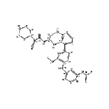 COc1nc(-c2cccc3c2O[C@@H](CNC(=O)C2CCOCC2)CO3)ccc1Nc1cccc(CN(C)C)c1